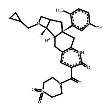 Cc1ccc(O)cc1[C@@]12Cc3[nH]c(=O)c(C(=O)N4CCS(=O)(=O)CC4)cc3C[C@H]1[C@H]1C(CN1CC1CC1)C2